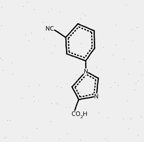 N#Cc1cccc(-n2cnc(C(=O)O)c2)c1